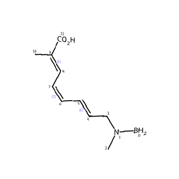 BN(C)C/C=C/C=C\C=C(/C)C(=O)O